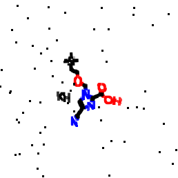 C[Si](C)(C)CCOCn1cc(C#N)nc1C(=O)O.[KH]